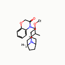 CCOCC[C@H]1CC2CC[C@@H](C1)N2CC(C)CN1C(=O)COc2ccccc21